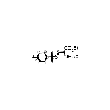 CCOC(=O)[C@H](CSC(C)(C)C1CC=C(C)CC1)NC(C)=O